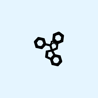 CC(c1ccccc1)C1(Cc2ccccc2)C=Cc2ccccc21